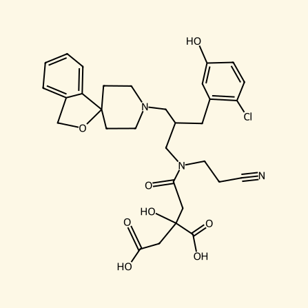 N#CCCN(CC(Cc1cc(O)ccc1Cl)CN1CCC2(CC1)OCc1ccccc12)C(=O)CC(O)(CC(=O)O)C(=O)O